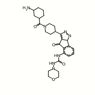 NC1CCCC(C(=O)N2CCC(C3=C4C(=O)c5c(NC(=O)NN6CCOCC6)cccc5C4N=N3)CC2)C1